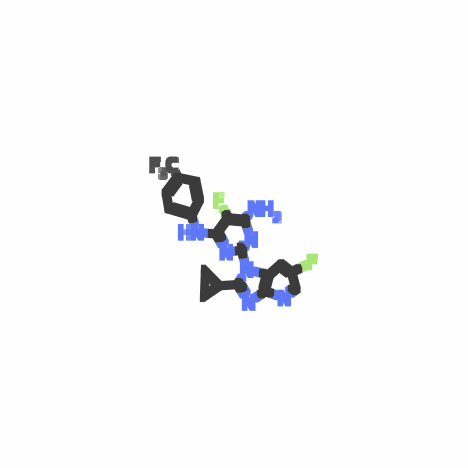 Nc1nc(-n2c(C3CC3)nc3ncc(F)cc32)nc(Nc2ccc(C(F)(F)F)cc2)c1F